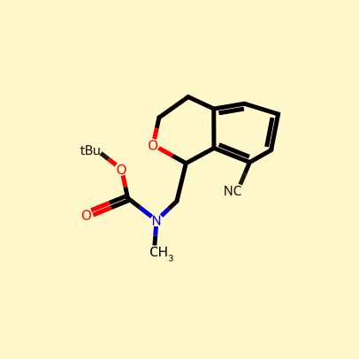 CN(CC1OCCc2cccc(C#N)c21)C(=O)OC(C)(C)C